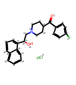 Cl.O=C(c1ccc(F)cc1)C1CCN(C[C@@H](O)c2cccc3ccccc23)CC1